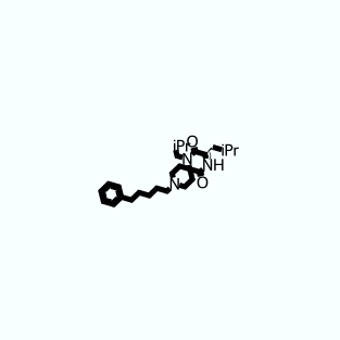 CC(C)C[C@@H]1NC(=O)C2(CCN(CCCCCc3ccccc3)CC2)N(CC(C)C)C1=O